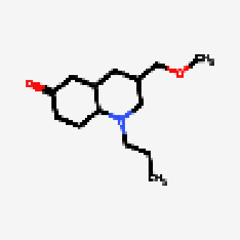 CCCN1CC(COC)CC2CC(=O)CCC21